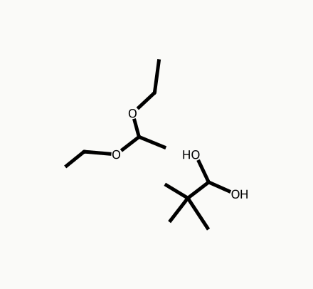 CC(C)(C)C(O)O.CCOC(C)OCC